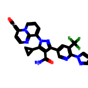 NC(=O)c1c(-c2cnc(-n3cccn3)c(C(F)(F)F)c2)nn(C2=CC=CN3C(=C=O)C=CN=C23)c1C1CC1